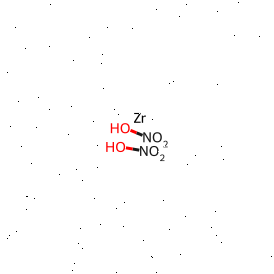 O=[N+]([O-])O.O=[N+]([O-])O.[Zr]